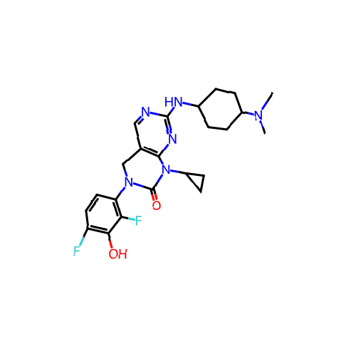 CN(C)C1CCC(Nc2ncc3c(n2)N(C2CC2)C(=O)N(c2ccc(F)c(O)c2F)C3)CC1